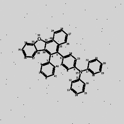 c1ccc(-c2c(-c3ccc(N(c4ccccc4)c4ccccc4)cc3)c3ccccc3c3oc4ccccc4c23)cc1